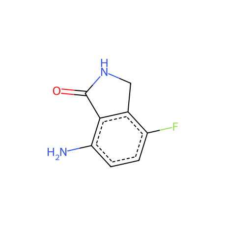 Nc1ccc(F)c2c1C(=O)NC2